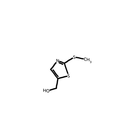 CSc1ncc(CO)s1